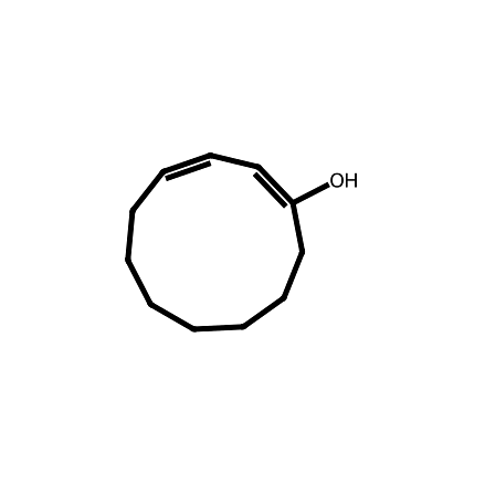 O/C1=C/C=C\CCCCCCC1